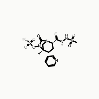 CS(=O)(=O)NNC(=O)[C@@H]1CC[C@@H]2CN1C(=O)N2OS(=O)(=O)O.c1ccncc1